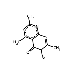 CC1=Nc2nc(C)cc(C)c2C(=O)C1Br